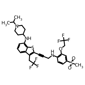 CC(C)N1CCC(Nc2cccc3c(CC(F)(F)F)c(C#CCNc4ccc(S(C)(=O)=O)cc4OCC(F)(F)F)sc23)CC1